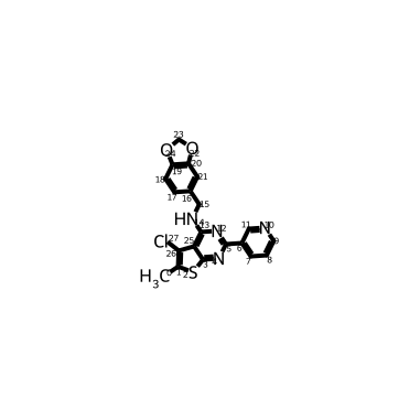 Cc1sc2nc(-c3cccnc3)nc(NCc3ccc4c(c3)OCO4)c2c1Cl